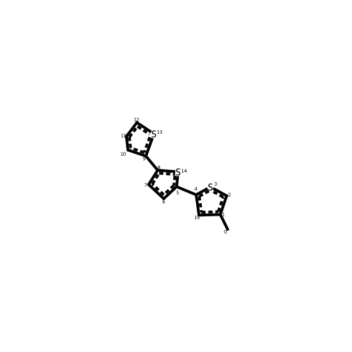 Cc1csc(-c2ccc(-c3cccs3)s2)c1